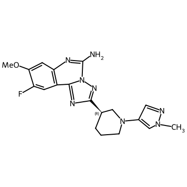 COc1cc2nc(N)n3nc([C@@H]4CCCN(c5cnn(C)c5)C4)nc3c2cc1F